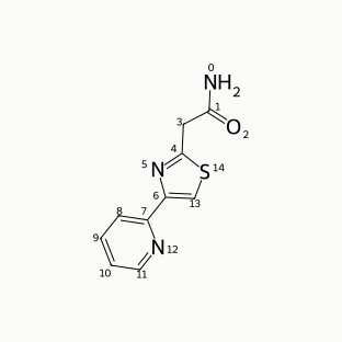 NC(=O)Cc1nc(-c2ccccn2)cs1